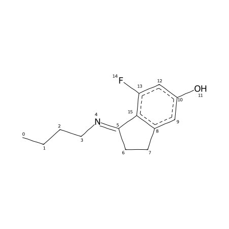 CCCC/N=C1\CCc2cc(O)cc(F)c21